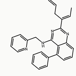 C=CC/C(=C\C)c1nc(NCc2ccccn2)c2c(-c3ccccc3)cccc2n1